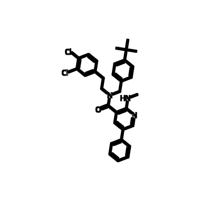 CNc1ncc(-c2ccccc2)cc1C(=O)N(CCc1ccc(Cl)c(Cl)c1)Cc1ccc(C(C)(C)C)cc1